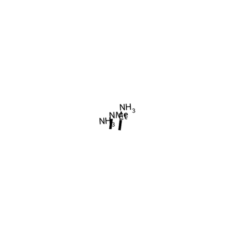 CCC.CNC.N.N